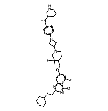 O=c1[nH]c(CSC2CCOCC2)nc2cc(OCC3CCN(C4CN(c5ccc(NC6CCCNC6)cc5)C4)CC3(F)F)cc(F)c12